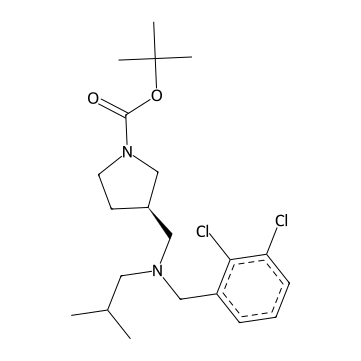 CC(C)CN(Cc1cccc(Cl)c1Cl)C[C@H]1CCN(C(=O)OC(C)(C)C)C1